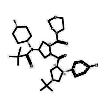 CC(C)(C)C(=O)N(C1C[C@@H](C(=O)N2CCOCC2)N(C(=O)[C@@H]2CN(C(C)(C)C)C[C@H]2c2ccc(Cl)cc2)C1)[C@H]1CC[C@@H](C)CC1